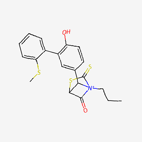 CCC[N+]12C(=O)C(SC1=S)C2c1ccc(O)c(-c2ccccc2SC)c1